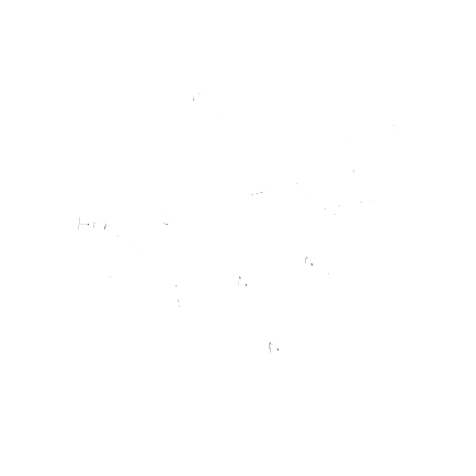 CCCN(C)c1ccc(S(=O)(=O)O)cn1.NC(=O)c1ccc(Cl)cc1C(F)(F)F